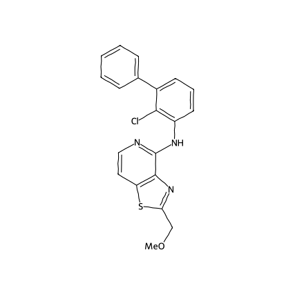 COCc1nc2c(Nc3cccc(-c4ccccc4)c3Cl)nccc2s1